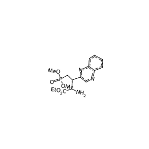 CCOC(=O)C(N)C(CP(=O)(OC)OC)c1cnc2ccccc2n1